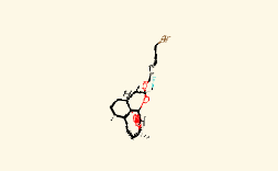 C[C@@H]1CC[C@H]2[C@@H](C)[C@@](CF)(OCCCCBr)O[C@@H]3O[C@]4(C)CCC1[C@]32OO4